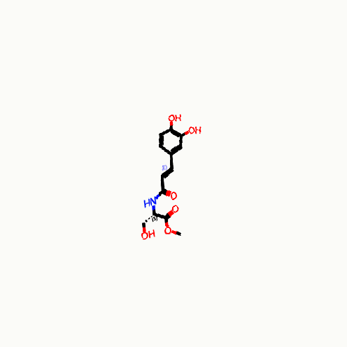 COC(=O)[C@H](CO)NC(=O)/C=C/c1ccc(O)c(O)c1